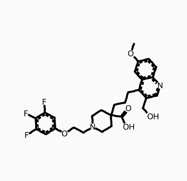 COc1ccc2ncc(CO)c(CCCC3(C(=O)O)CCN(CCOc4cc(F)c(F)c(F)c4)CC3)c2c1